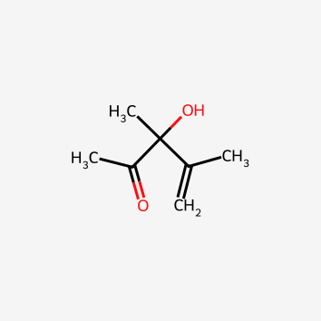 C=C(C)C(C)(O)C(C)=O